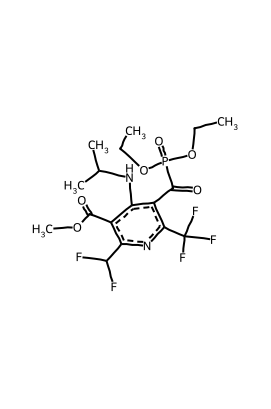 CCOP(=O)(OCC)C(=O)c1c(C(F)(F)F)nc(C(F)F)c(C(=O)OC)c1NC(C)C